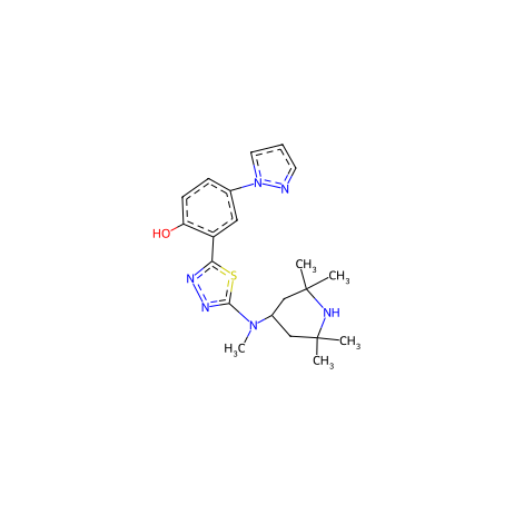 CN(c1nnc(-c2cc(-n3cccn3)ccc2O)s1)C1CC(C)(C)NC(C)(C)C1